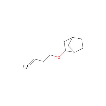 C=CCCOC1CC2CCC1C2